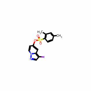 Cc1ccc(S(=O)(=O)Oc2ccn3ncc(I)c3c2)c(C)c1